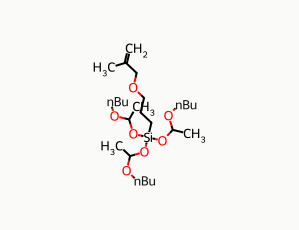 C=C(C)COCCC[Si](OC(C)OCCCC)(OC(C)OCCCC)OC(C)OCCCC